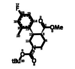 COC(=O)[C@@H]1CCN(C(=O)OC(C)(C)C)C[C@@H]1c1ccc(F)cc1C